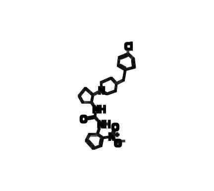 O=C(Nc1ccccc1[N+](=O)[O-])NC1CCCC1N1CCC(Cc2ccc(Cl)cc2)CC1